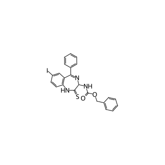 O=C(NC1N=C(c2ccccc2)c2cc(I)ccc2NC1=S)OCc1ccccc1